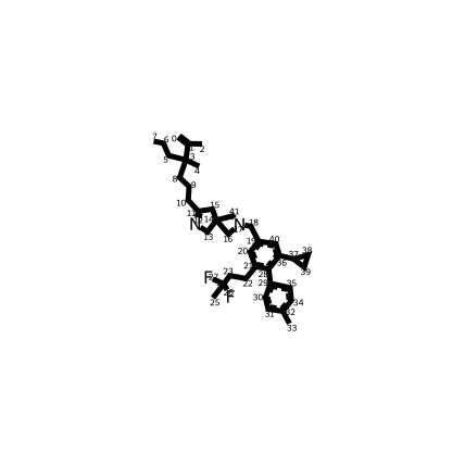 C=C(C)C(C)(CCC)CCCC1=NCC2(C1)CN(Cc1cc(CCC(C)(F)F)c(-c3ccc(C)cc3)c(C3CC3)c1)C2